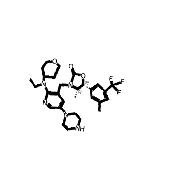 CCN(c1ncc(N2CCNCC2)cc1CN1C(=O)O[C@H](c2cc(C)cc(C(F)(F)F)c2)[C@@H]1C)C1CCOCC1